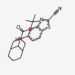 CC(C)(C)OC(=O)N1CC2CCCC(C1)C2Nc1ccc2sc(C#N)nc2c1